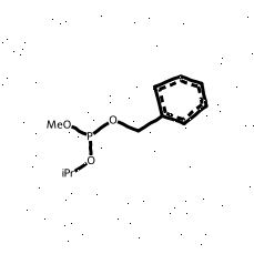 COP(OCc1ccccc1)OC(C)C